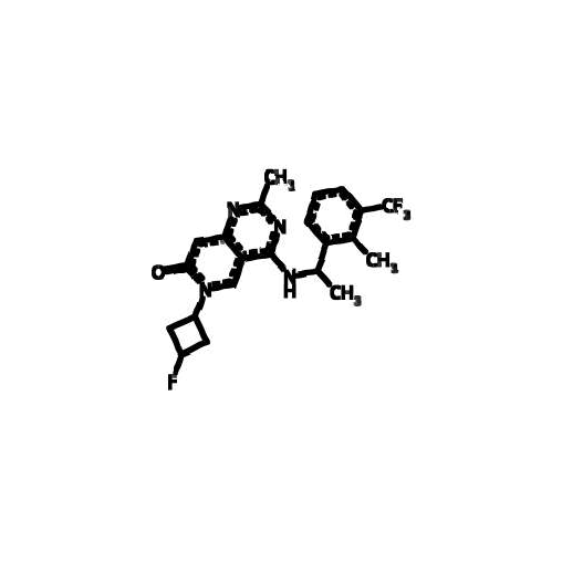 Cc1nc(NC(C)c2cccc(C(F)(F)F)c2C)c2cn(C3CC(F)C3)c(=O)cc2n1